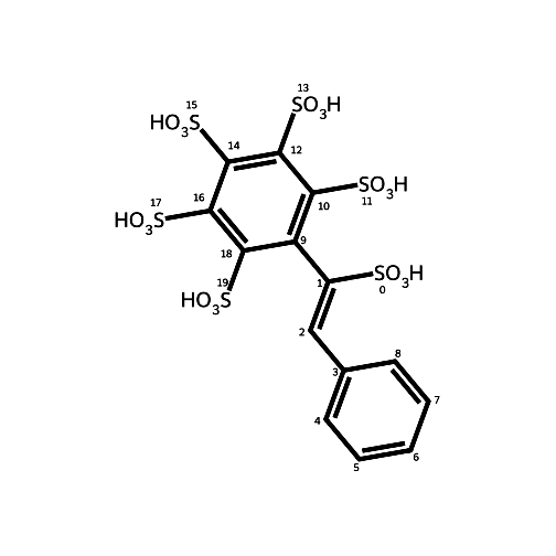 O=S(=O)(O)C(=Cc1ccccc1)c1c(S(=O)(=O)O)c(S(=O)(=O)O)c(S(=O)(=O)O)c(S(=O)(=O)O)c1S(=O)(=O)O